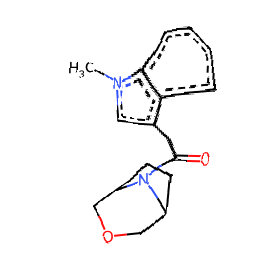 Cn1cc(C(=O)N2C3CCC2COC3)c2ccccc21